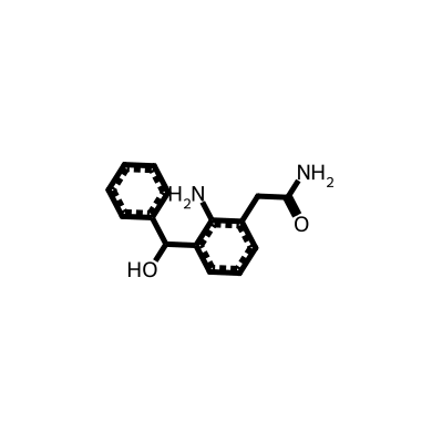 NC(=O)Cc1cccc(C(O)c2ccccc2)c1N